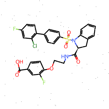 O=C(O)c1ccc(OCCNC(=O)[C@@H]2Cc3ccccc3N2S(=O)(=O)c2ccc(-c3ccc(F)cc3Cl)cc2)c(F)c1